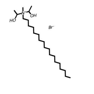 CCCCCCCCCCCCCCCCCC[N+](C)(C(C)O)C(C)O.[Br-]